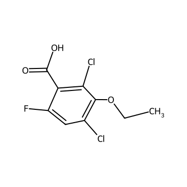 CCOc1c(Cl)cc(F)c(C(=O)O)c1Cl